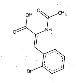 CC(=O)NC(=Cc1ccccc1Br)C(=O)O